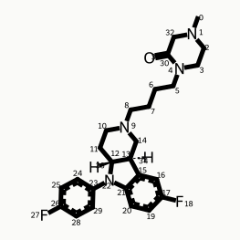 CN1CCN(CCCCN2CC[C@@H]3[C@@H](C2)c2cc(F)ccc2N3c2ccc(F)cc2)C(=O)C1